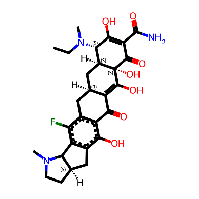 CCN(C)[C@@H]1C(O)=C(C(N)=O)C(=O)[C@@]2(O)C(O)=C3C(=O)c4c(O)c5c(c(F)c4C[C@H]3C[C@@H]12)C1[C@H](CCN1C)C5